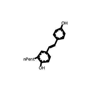 CCCCCc1cc(/C=C/c2ccc(O)cc2)ccc1O